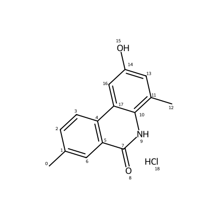 Cc1ccc2c(c1)c(=O)[nH]c1c(C)cc(O)cc12.Cl